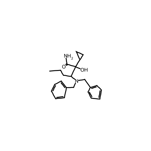 CCCC(N(Cc1ccccc1)Cc1ccccc1)C(O)(C(N)=O)C1CC1